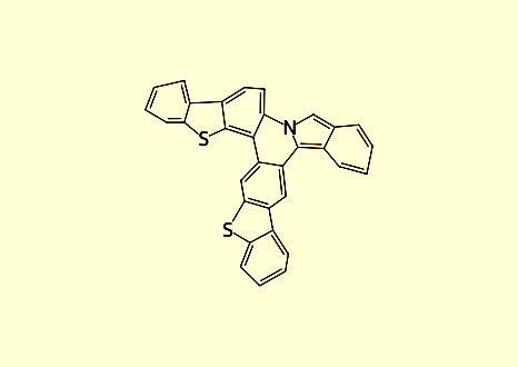 c1ccc2c(c1)cn1c3ccc4c5ccccc5sc4c3c3cc4sc5ccccc5c4cc3c21